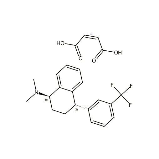 CN(C)[C@@H]1CC[C@@H](c2cccc(C(F)(F)F)c2)c2ccccc21.O=C(O)/C=C\C(=O)O